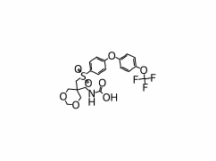 O=C(O)NCC1(CS(=O)(=O)c2ccc(Oc3ccc(OC(F)(F)F)cc3)cc2)COCOC1